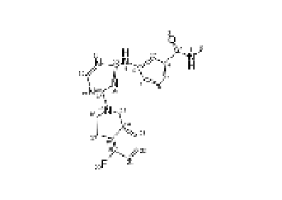 CNC(=O)c1cccc(Nc2ncnc(N3CCc4c(F)cccc4C3)n2)c1